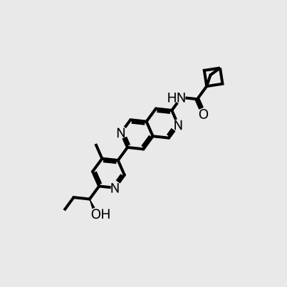 CC[C@H](O)c1cc(C)c(-c2cc3cnc(NC(=O)C45CC(C4)C5)cc3cn2)cn1